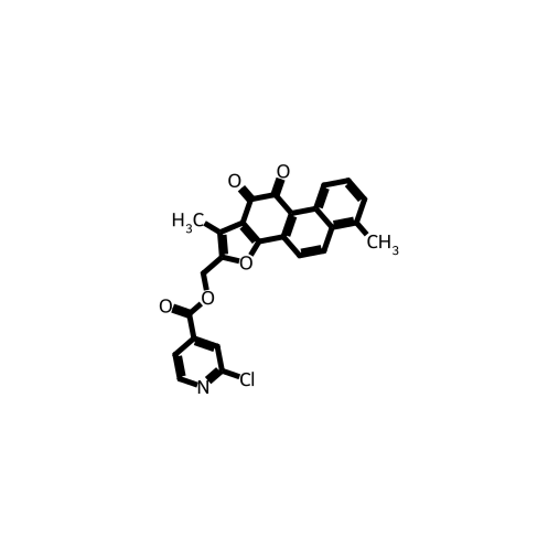 Cc1c(COC(=O)c2ccnc(Cl)c2)oc2c1C(=O)C(=O)c1c-2ccc2c(C)cccc12